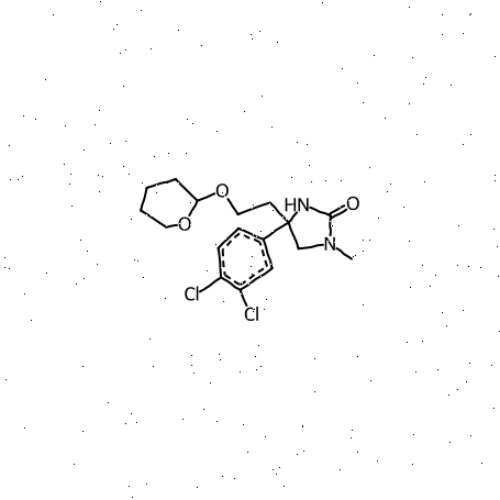 CN1CC(CCOC2CCCCO2)(c2ccc(Cl)c(Cl)c2)NC1=O